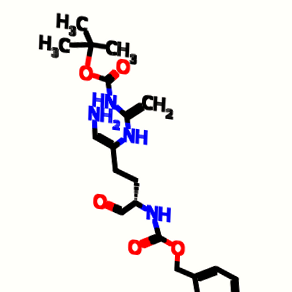 C=C(NC(=O)OC(C)(C)C)N/C(=C\N)CC[C@@H](C=O)NC(=O)OCc1ccccc1